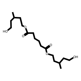 CC(CCO)CCOC(=O)CCCCC(=O)OCCC(C)CCO